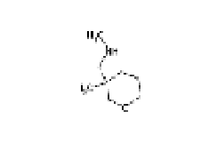 CNCC1(C)CCCOC1